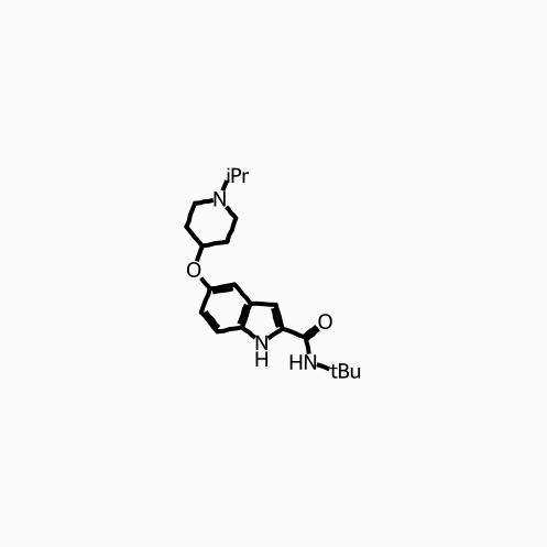 CC(C)N1CCC(Oc2ccc3[nH]c(C(=O)NC(C)(C)C)cc3c2)CC1